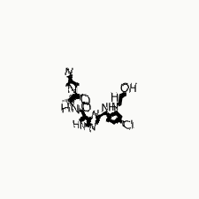 C[C@@H](NC(=O)c1c[nH]c2ncc(C(=N)c3ccc(Cl)cc3NCCCO)nc12)C(=O)N1CC(C#N)C1